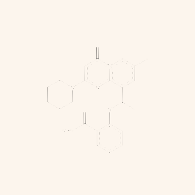 CNC(=O)c1ccccc1NC(C)c1cc(C)cn2c(=O)cc(N3CCCCC3)nc12